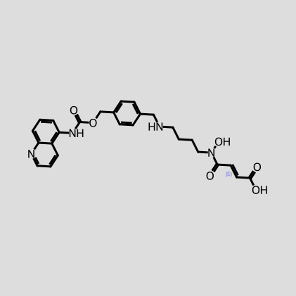 O=C(O)/C=C/C(=O)N(O)CCCCNCc1ccc(COC(=O)Nc2cccc3ncccc23)cc1